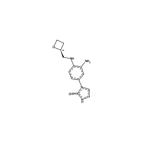 Nc1cc(-n2cc[nH]c2=O)ccc1NC[C@@H]1CCO1